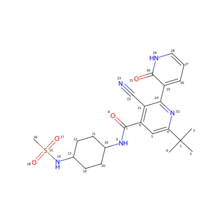 CC(C)(C)c1cc(C(=O)NC2CCC(NS(C)(=O)=O)CC2)c(C#N)c(-c2ccc[nH]c2=O)n1